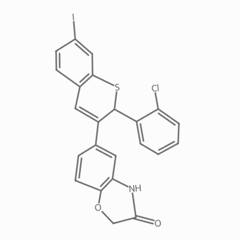 O=C1COc2ccc(C3=Cc4ccc(I)cc4SC3c3ccccc3Cl)cc2N1